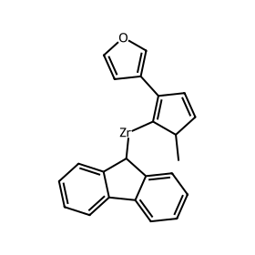 CC1C=CC(c2ccoc2)=[C]1[Zr][CH]1c2ccccc2-c2ccccc21